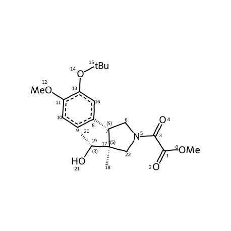 COC(=O)C(=O)N1C[C@@H](c2ccc(OC)c(OC(C)(C)C)c2)[C@](C)([C@@H](C)O)C1